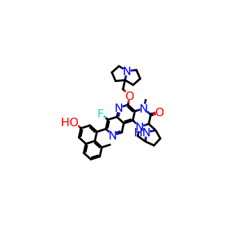 Cc1cccc2cc(O)cc(-c3ncc4c5c(c(OCC67CCCN6CCC7)nc4c3F)N(C)C(=O)C3C4CCC(CN53)N4)c12